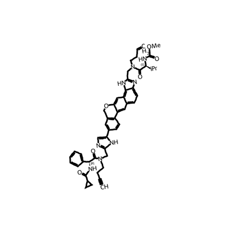 C#CCCN(Cc1ncc(-c2ccc3c(c2)COc2cc4c(ccc5nc(CN(CCC=C)C(=O)[C@@H](NC(=O)OC)C(C)C)[nH]c54)cc2-3)[nH]1)C(=O)[C@H](NC(=O)C1CC1)c1ccccc1